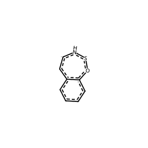 [c]1cc2ccccc2os[nH]1